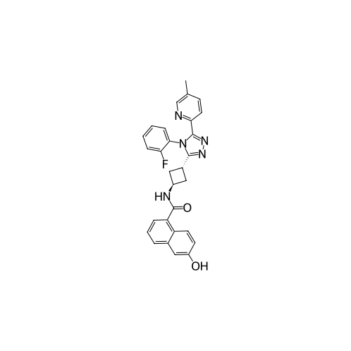 Cc1ccc(-c2nnc([C@H]3C[C@H](NC(=O)c4cccc5cc(O)ccc45)C3)n2-c2ccccc2F)nc1